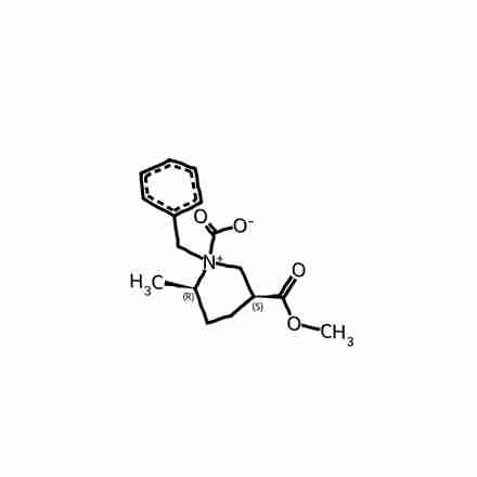 COC(=O)[C@H]1CC[C@@H](C)[N+](Cc2ccccc2)(C(=O)[O-])C1